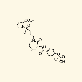 O=C(N[C@H]1CSCCN(CCCS(=O)(=O)N2CCCC2C(=O)O)C1=O)c1ccc(OP(=O)(O)O)cc1